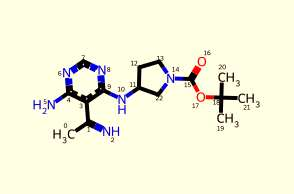 CC(=N)c1c(N)ncnc1NC1CCN(C(=O)OC(C)(C)C)C1